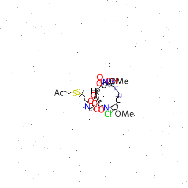 COc1cc2cc(c1Cl)N(C)C(=O)C[C@H](OC(=O)[C@H](C)N(C)C(=O)CCC(C)(C)SSCCCC(C)=O)[C@]1(C)O[C@H]1[C@H](C)C1C[C@@](O)(NC(=O)O1)[C@H](OC)/C=C/C=C(\C)C2